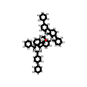 c1ccc(-c2ccc(-c3nc(-c4ccccc4)nc(-c4ccc(-n5c6ccccc6c6ccc7c8cc(-c9ccccc9)ccc8n(-c8ccc9ccccc9n8)c7c65)cc4)n3)cc2)cc1